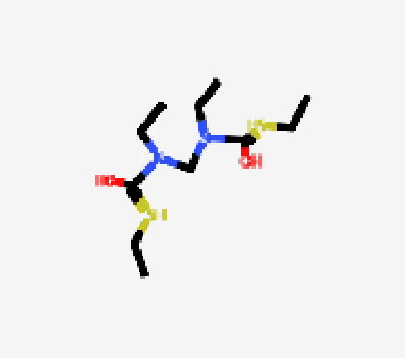 CC[SH]=C(O)N(CC)CN(CC)C(O)=[SH]CC